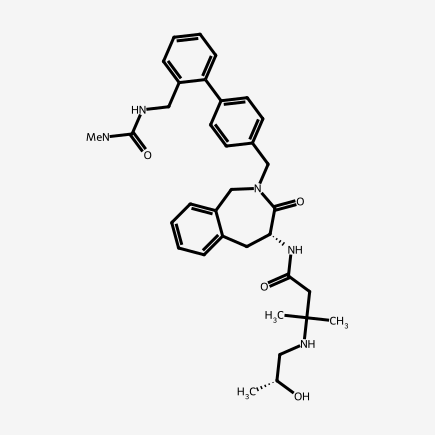 CNC(=O)NCc1ccccc1-c1ccc(CN2Cc3ccccc3C[C@@H](NC(=O)CC(C)(C)NC[C@@H](C)O)C2=O)cc1